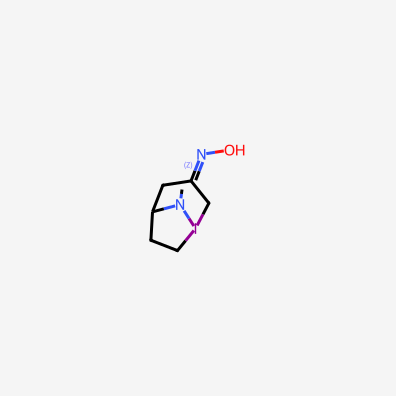 CN1C2CCI1C/C(=N\O)C2